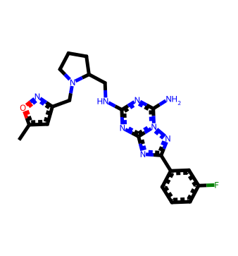 Cc1cc(CN2CCCC2CNc2nc(N)n3nc(-c4cccc(F)c4)nc3n2)no1